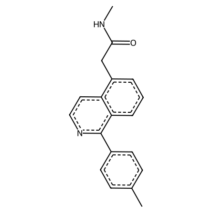 CNC(=O)Cc1cccc2c(-c3ccc(C)cc3)nccc12